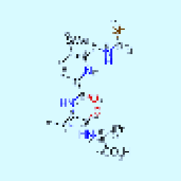 C/C=C(\NC(=O)c1ccc(SC)c(CNC(C)S)n1)C(=O)N[C@H](C(=O)O)C(C)C